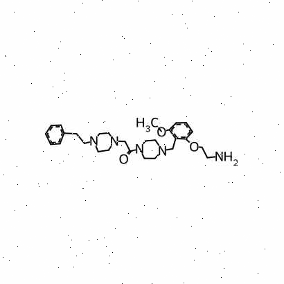 COc1cccc(OCCN)c1CN1CCN(C(=O)CN2CCN(CCc3ccccc3)CC2)CC1